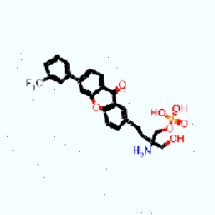 NC(CO)(CCc1ccc2oc3cc(-c4cccc(C(F)(F)F)c4)ccc3c(=O)c2c1)COP(=O)(O)O